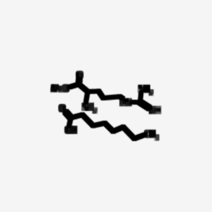 CCCCCCCC(=O)O.COC(=O)C(N)CCCNC(=N)N